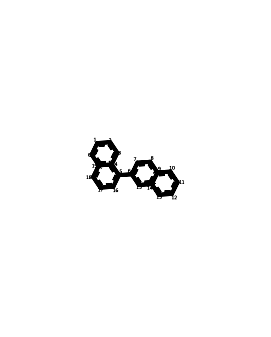 [c]1cccc2c(-c3ccc4ccccc4c3)cccc12